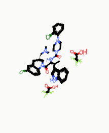 CC(c1c[nH]c2ccccc12)C(NC(=O)N1CCN(c2ccccc2Cl)CC1)C(=O)N1C[C@@H](CN(C)C)Cc2cc(Cl)ccc21.O=C(O)C(F)(F)F.O=C(O)C(F)(F)F